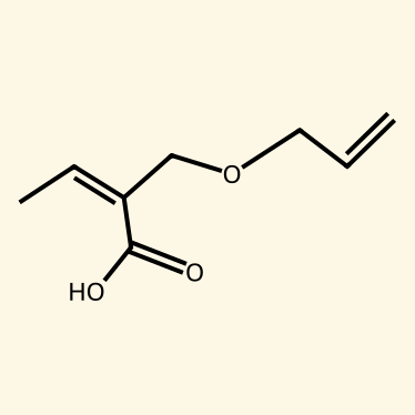 C=CCOCC(=CC)C(=O)O